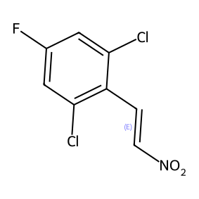 O=[N+]([O-])/C=C/c1c(Cl)cc(F)cc1Cl